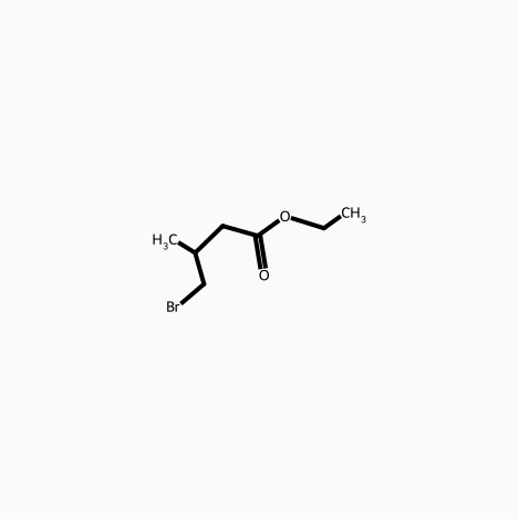 CCOC(=O)CC(C)CBr